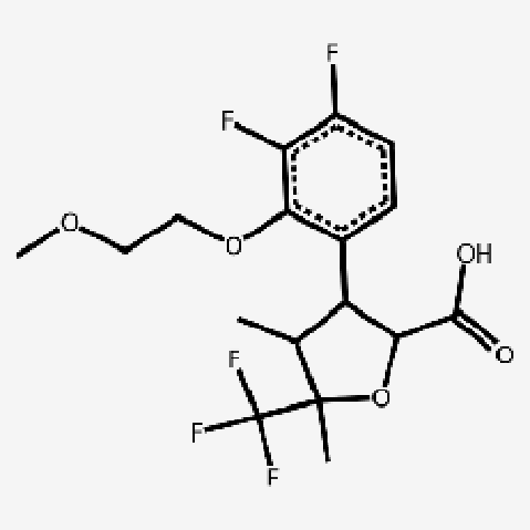 COCCOc1c(C2C(C(=O)O)OC(C)(C(F)(F)F)C2C)ccc(F)c1F